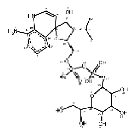 CN(C)[C@H]1[C@@H](O)C2(C=CNc3c(N)ncnc32)O[C@@H]1COP(=O)(S)OP(=O)(O)OC1OC([C@@H](O)CO)C(O)C(O)C1O